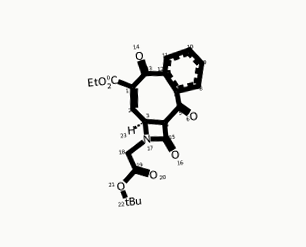 CCOC(=O)/C1=C/[C@H]2C(C(=O)c3ccccc3C1=O)C(=O)N2CC(=O)OC(C)(C)C